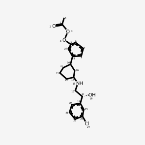 CC(=O)OOc1cccc(C2CCCC(NC[C@H](O)c3cccc(Cl)c3)C2)c1